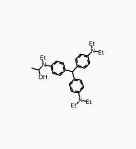 CCN(CC)c1ccc(C(c2ccc(N(CC)CC)cc2)c2ccc(N(CC)C(C)O)cc2)cc1